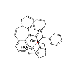 O=C(O)[C@H]1[C@@H]2CCC(CN1C(=O)N1c3ccccc3C=Cc3ccccc31)N2C(=O)C(c1ccccc1)c1ccccc1